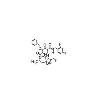 C[C@H]1C=C[C@]2(CC(CF)=NO2)[C@H]2CN1C(=O)c1c(OCc3ccccc3)c(=O)c(C(=O)NCc3ccc(F)cc3F)cn12